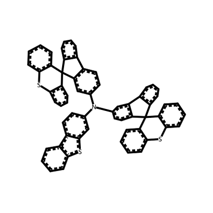 c1ccc2c(c1)Sc1ccccc1C21c2ccccc2-c2cc(N(c3ccc4c(c3)C3(c5ccccc5Sc5ccccc53)c3ccccc3-4)c3ccc4c(c3)sc3ccccc34)ccc21